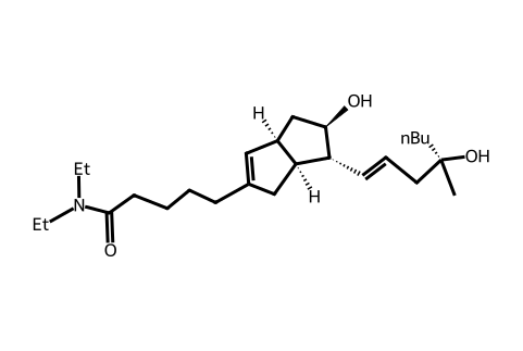 CCCC[C@@](C)(O)C/C=C/[C@@H]1[C@H]2CC(CCCCC(=O)N(CC)CC)=C[C@H]2C[C@H]1O